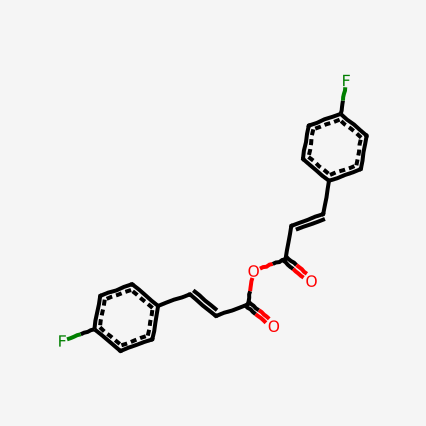 O=C(/C=C/c1ccc(F)cc1)OC(=O)/C=C/c1ccc(F)cc1